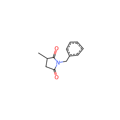 CC1CC(=O)N(Cc2ccccc2)C1=O